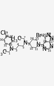 CCN(CCCN(CC)C1CCN(c2ncnc3[nH]nc(Br)c23)CC1)c1ccc(Cl)cc1